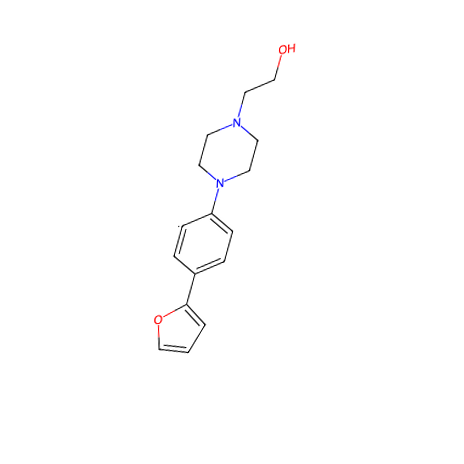 OCCN1CCN(c2[c]cc(-c3ccco3)cc2)CC1